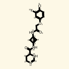 O=C(COc1ccc(Cl)c(F)c1)NC12CC(NC(=O)C3CCN=CN3)(C1)C2